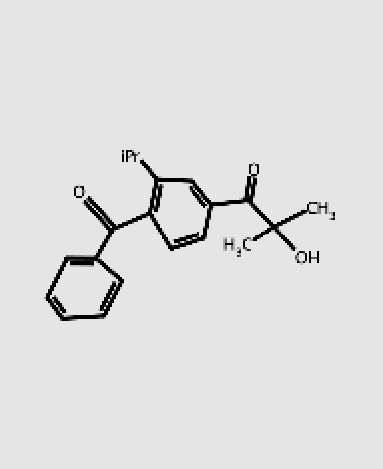 CC(C)c1cc(C(=O)C(C)(C)O)ccc1C(=O)c1ccccc1